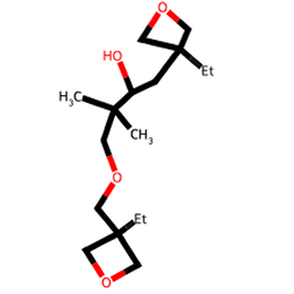 CCC1(COCC(C)(C)C(O)CC2(CC)COC2)COC1